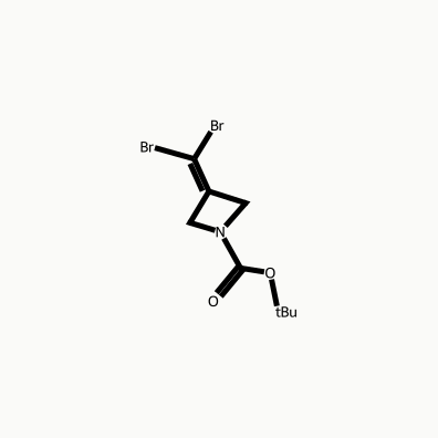 CC(C)(C)OC(=O)N1CC(=C(Br)Br)C1